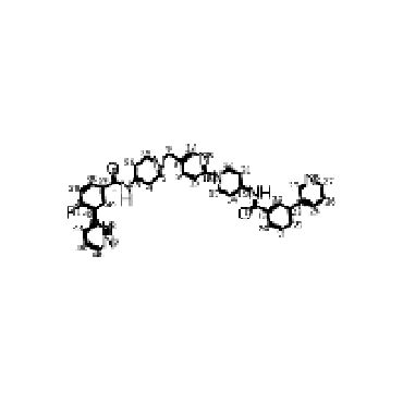 O=C(NC1CCN(Cc2ccc(N3CCC(NC(=O)c4cccc(-c5cccnc5)c4)CC3)nc2)CC1)c1ccc(F)c(-c2cccnn2)c1